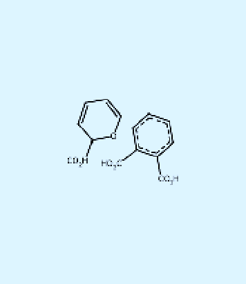 O=C(O)C1C=CC=CO1.O=C(O)c1ccccc1C(=O)O